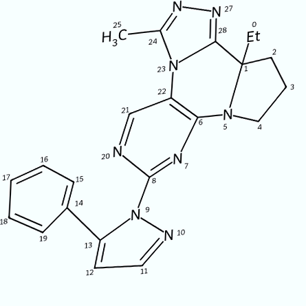 CCC12CCCN1c1nc(-n3nccc3-c3ccccc3)ncc1-n1c(C)nnc12